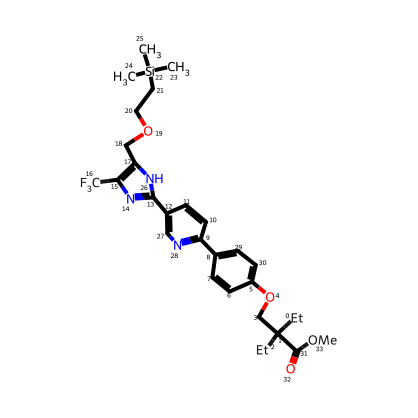 CCC(CC)(COc1ccc(-c2ccc(-c3nc(C(F)(F)F)c(COCC[Si](C)(C)C)[nH]3)cn2)cc1)C(=O)OC